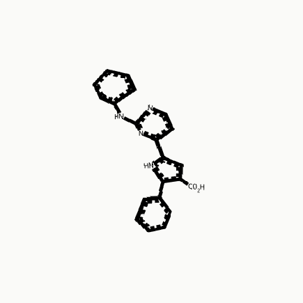 O=C(O)c1cc(-c2ccnc(Nc3ccccc3)n2)[nH]c1-c1ccccc1